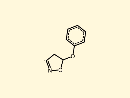 [C]1=NOC(Oc2ccccc2)C1